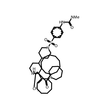 CNC(=O)Nc1ccc(S(=O)(=O)N2CCC(C3CCN4NC(C(F)(F)F)C(C(=O)N5CCCCCC5)C45/C4=C/CCCCCC4C4CCCCCCCC35C4)CC2)cc1